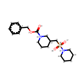 O=C(OCc1ccccc1)N1CCCC(CS(=O)(=O)N2CC[CH]CC2)C1